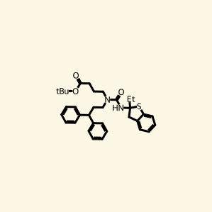 CCC1(NC(=O)N(CCCC(=O)OC(C)(C)C)CCC(c2ccccc2)c2ccccc2)Cc2ccccc2S1